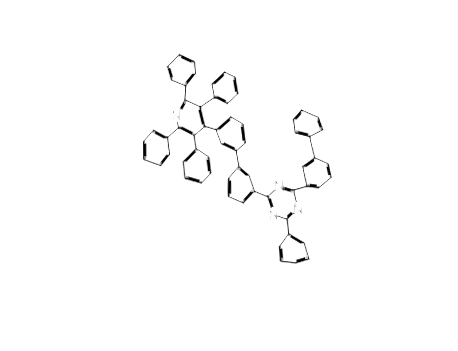 c1ccc(-c2cccc(-c3nc(-c4ccccc4)nc(-c4cccc(-c5cccc(-c6c(-c7ccccc7)c(-c7ccccc7)nc(-c7ccccc7)c6-c6ccccc6)c5)c4)n3)c2)cc1